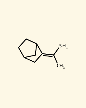 CC([SiH3])=C1CC2CCC1C2